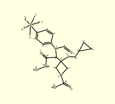 O=CN(c1ccc(S(F)(F)(F)(F)F)cc1)C(C(=O)NO)C1(OCC2CC2)CN(C(=O)O)C1